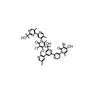 Cc1cnc(-c2nc(C(C)(C)O)ncc2C)cc1-n1c(C)cc(OCc2ncc(F)cc2-c2cc(C3=NC[C@@H](C)C(n4c(C)cc(O)c(Br)c4=O)=C3)nc(C(C)(C)O)c2)c(Cl)c1=O